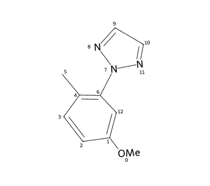 COc1ccc(C)c(-n2nccn2)c1